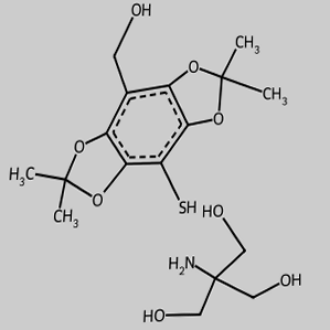 CC1(C)Oc2c(S)c3c(c(CO)c2O1)OC(C)(C)O3.NC(CO)(CO)CO